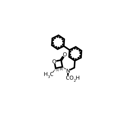 C[C@@H]1OC(=O)[C@@H]1N(Cc1cccc(-c2ccccc2)c1)C(=O)O